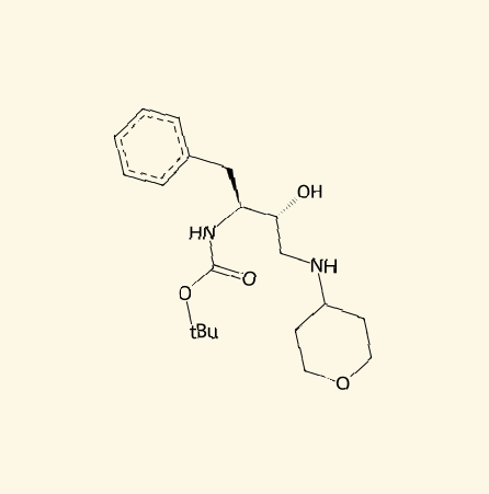 CC(C)(C)OC(=O)N[C@@H](Cc1ccccc1)[C@H](O)CNC1CCOCC1